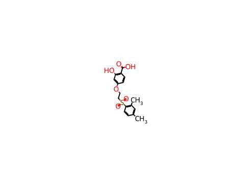 Cc1ccc(S(=O)(=O)CCOc2ccc(C(=O)O)c(O)c2)c(C)c1